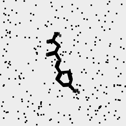 NC(=O)CC(=O)N=Cc1ccc(N)cc1